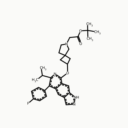 CC(C)c1nc(OC2CC3(CCN(CC(=O)OC(C)(C)C)C3)C2)c2cc3[nH]ncc3cc2c1-c1ccc(F)cc1